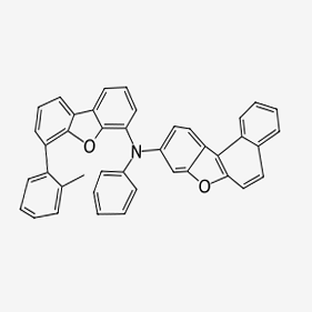 Cc1ccccc1-c1cccc2c1oc1c(N(c3ccccc3)c3ccc4c(c3)oc3ccc5ccccc5c34)cccc12